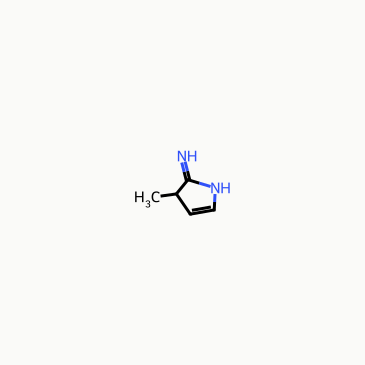 CC1C=CNC1=N